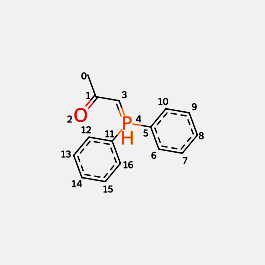 CC(=O)C=[PH](c1ccccc1)c1ccccc1